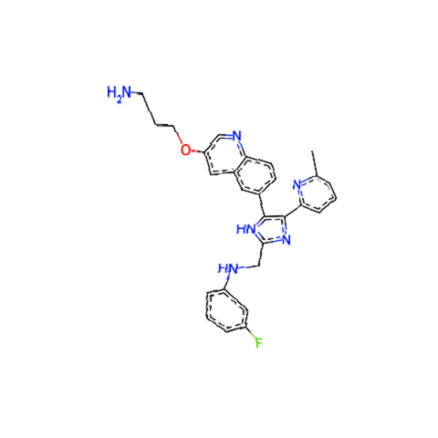 Cc1cccc(-c2nc(CNc3cccc(F)c3)[nH]c2-c2ccc3ncc(OCCCN)cc3c2)n1